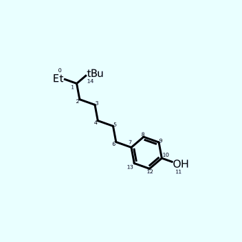 CCC(CCCCCc1ccc(O)cc1)C(C)(C)C